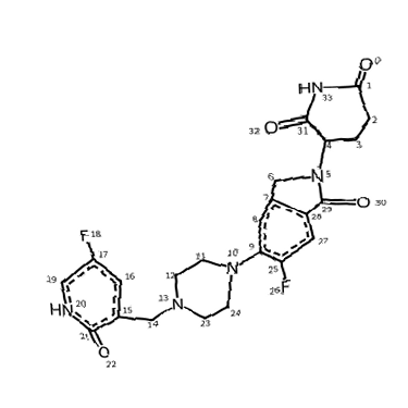 O=C1CCC(N2Cc3cc(N4CCN(Cc5cc(F)c[nH]c5=O)CC4)c(F)cc3C2=O)C(=O)N1